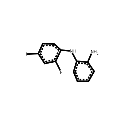 Nc1ccccc1Nc1ccc(I)cc1F